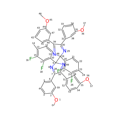 COc1cccc(C2=NC(c3ccc(C)c(F)c3F)(C3(c4ccc(C)c(F)c4F)N=C(c4cccc(OC)c4)C(c4cccc(OC)c4)=N3)N=C2c2cccc(OC)c2)c1